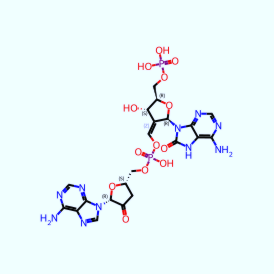 Nc1ncnc2c1ncn2[C@@H]1O[C@H](COP(=O)(O)O/C=C2\[C@H](n3c(=O)[nH]c4c(N)ncnc43)O[C@H](COP(=O)(O)O)[C@H]2O)CC1=O